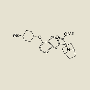 COC(=O)C1CC2CCC(C1)N2Cc1ccc2c(O[C@H]3CC[C@H](C(C)(C)C)CC3)cccc2c1